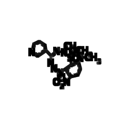 CN(C)c1ccc([N+](=O)[O-])c2c1S(=O)(=O)N(C)/N=C(/c1cccnc1)N=NN2Cl